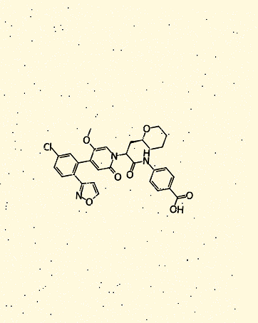 COc1cn(C(C[C@@H]2CCCCO2)C(=O)Nc2ccc(C(=O)O)cc2)c(=O)cc1-c1cc(Cl)ccc1-c1ccon1